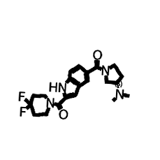 CN(C)[C@H]1CCN(C(=O)c2ccc3[nH]c(C(=O)N4CCC(F)(F)CC4)cc3c2)C1